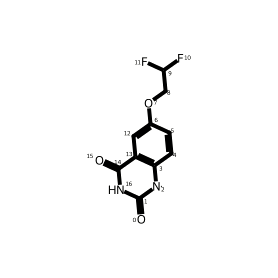 O=C1[N]c2ccc(OCC(F)F)cc2C(=O)N1